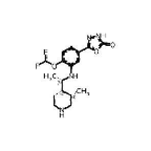 C[C@@H]1CNCC[C@@H]1[C@H](C)Nc1cc(-c2n[nH]c(=O)o2)ccc1OC(F)F